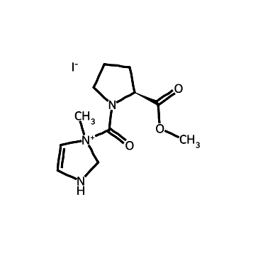 COC(=O)[C@@H]1CCCN1C(=O)[N+]1(C)C=CNC1.[I-]